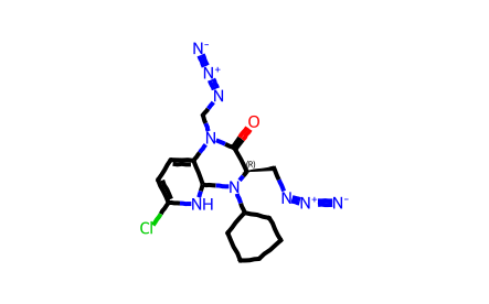 [N-]=[N+]=NC[C@@H]1C(=O)N(CN=[N+]=[N-])C2=CC=C(Cl)NC2N1C1CCCCC1